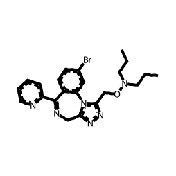 CCCN(CCC)OCc1nnc2n1-c1cc(Br)ccc1C(c1ccccn1)=NC2